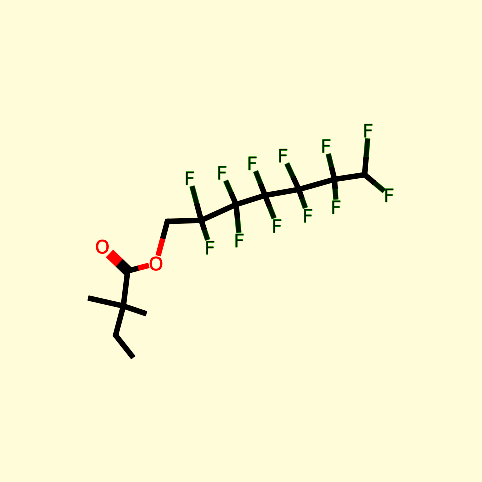 CCC(C)(C)C(=O)OCC(F)(F)C(F)(F)C(F)(F)C(F)(F)C(F)(F)C(F)F